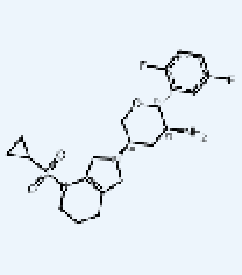 N[C@H]1C[C@@H](N2CC3=C(C2)N(S(=O)(=O)C2CC2)CCC3)CO[C@@H]1c1cc(F)ccc1F